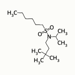 CCCCCCS(=O)(=O)N(CCC(C)(C)C)C(C)C